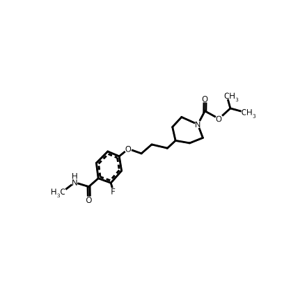 CNC(=O)c1ccc(OCCCC2CCN(C(=O)OC(C)C)CC2)cc1F